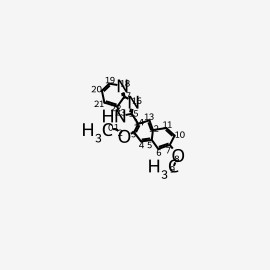 CCOc1cc2cc(OC)ccc2cc1-c1nc2ncccc2[nH]1